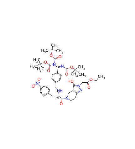 CCOC(=O)Cn1nc2c(c1O)CN(C(=O)[C@H](Cc1ccc([N+](=O)[O-])cc1)NCc1ccc(C(=NC(=O)OC(C)(C)C)N(C(=O)OC(C)(C)C)C(=O)OC(C)(C)C)cc1)CC2